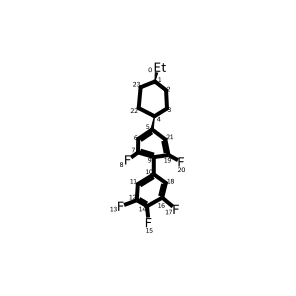 CC[C@H]1CC[C@@H](c2cc(F)c(-c3cc(F)c(F)c(F)c3)c(F)c2)CC1